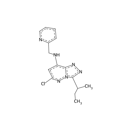 CCC(C)c1nnc2c(NCc3ccccn3)cc(Cl)nn12